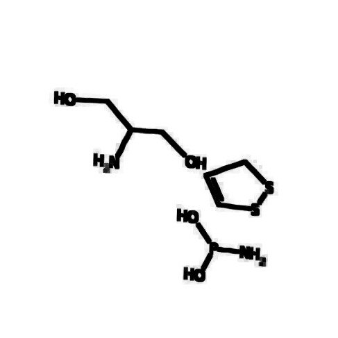 C1=CSSC1.NC(CO)CO.NP(O)O